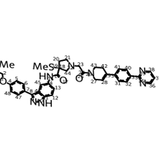 COCCOc1ccc(-c2n[nH]c3ccc(NC(=O)[C@]4(SC)CCN(CC(=O)N5CC=C(c6ccc(-c7ncccn7)cc6)CC5)C4)cc23)cc1